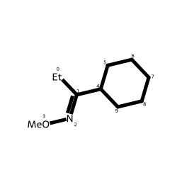 CCC(=NOC)C1CCCCC1